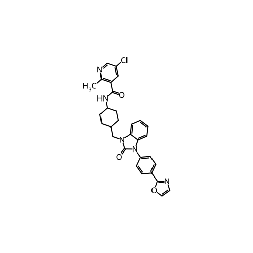 Cc1ncc(Cl)cc1C(=O)NC1CCC(Cn2c(=O)n(-c3ccc(-c4ncco4)cc3)c3ccccc32)CC1